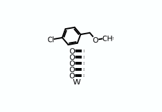 [CH]OCc1ccc(Cl)cc1.[C]=O.[C]=O.[C]=O.[C]=O.[C]=O.[W]